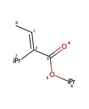 C/C=C(/C(=O)OC(C)C)C(C)C